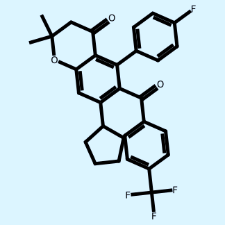 CC1(C)CC(=O)c2c(cc(C3CCCC3)c(C(=O)c3ccc(C(F)(F)F)cc3)c2-c2ccc(F)cc2)O1